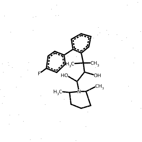 CC1CCCC(C)N1C(O)C(O)C(C)(C)c1ccccc1-c1ccc(F)cc1